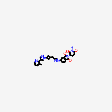 Cc1cccnc1-c1cnn(C2CC(CCCNc3ccc4c(c3)C(=O)N(C3CCC(=O)NC3=O)C4=O)C2)c1